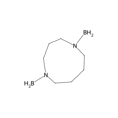 BN1CCCCN(B)CCC1